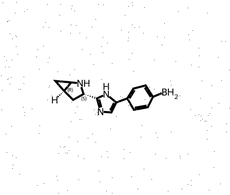 Bc1ccc(-c2cnc([C@@H]3C[C@H]4CC4N3)[nH]2)cc1